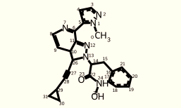 Cn1nccc1C1=NC=CC2C1=NN(C(Cc1ccccc1)C(=O)NO)C2C#CC1CC1